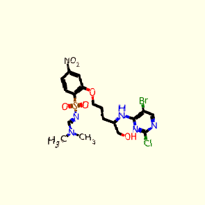 CN(C)/C=N/S(=O)(=O)c1ccc([N+](=O)[O-])cc1OCCCC(CO)Nc1nc(Cl)ncc1Br